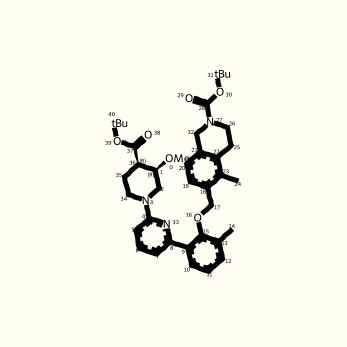 CO[C@H]1CN(c2cccc(-c3cccc(C)c3OCc3ccc4c(c3C)CCN(C(=O)OC(C)(C)C)C4)n2)CC[C@H]1C(=O)OC(C)(C)C